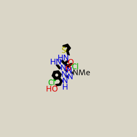 CNc1nc(NC(CCO)c2ccccc2Cl)nc(N2CCNCC2(C(=O)CCl)C(=O)NCc2cccs2)n1